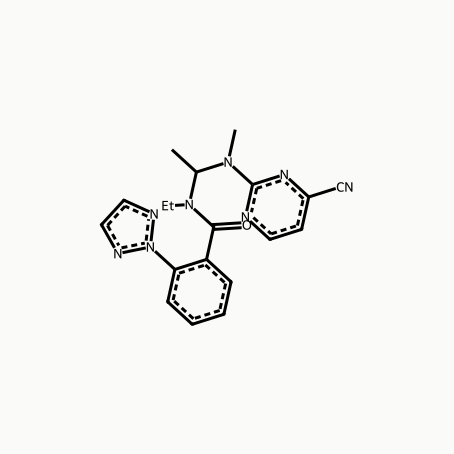 CCN(C(=O)c1ccccc1-n1nccn1)C(C)N(C)c1nccc(C#N)n1